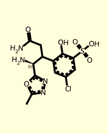 Cc1nnc([C@@H](N)C(CC(N)=O)c2cc(Cl)cc(S(=O)(=O)O)c2O)o1